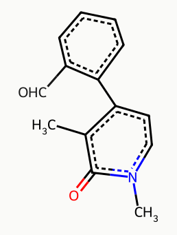 Cc1c(-c2ccccc2C=O)ccn(C)c1=O